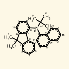 CC1(C)c2ccccc2-c2c(N(c3cccc4ccccc34)C(C)(C)C)cccc21